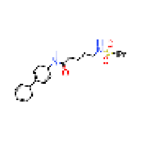 CC(C)S(=O)(=O)NCCCCC(=O)NC1C=CC(C2C=CC=CC2)=CC1